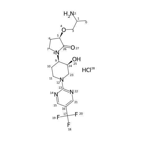 CC(N)CO[C@@H]1CCN([C@@H]2CCN(c3ncc(C(F)(F)F)cn3)C[C@@H]2O)C1=O.Cl